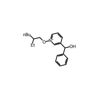 CCCCC(CC)CO[n+]1cccc(C(O)c2ccccc2)c1